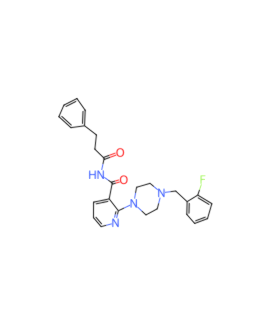 O=C(CCc1ccccc1)NC(=O)c1cccnc1N1CCN(Cc2ccccc2F)CC1